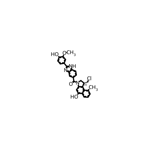 COc1cc(-c2nc3cc(C(=O)N4C[C@@H](CCl)c5c4cc(O)c4cccc(C)c54)ccc3[nH]2)ccc1O